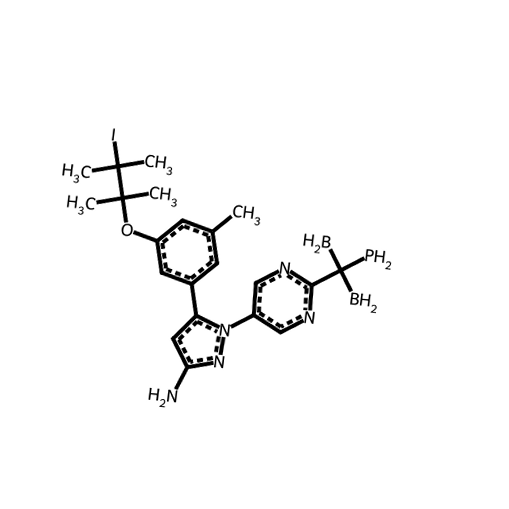 BC(B)(P)c1ncc(-n2nc(N)cc2-c2cc(C)cc(OC(C)(C)C(C)(C)I)c2)cn1